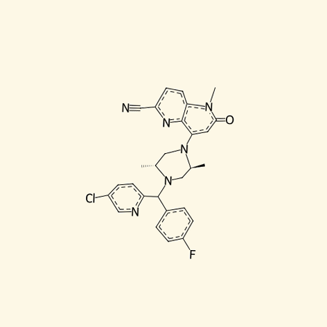 C[C@@H]1CN(c2cc(=O)n(C)c3ccc(C#N)nc23)[C@@H](C)CN1C(c1ccc(F)cc1)c1ccc(Cl)cn1